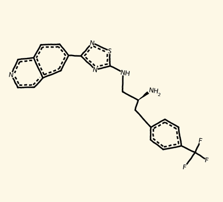 N[C@H](CNc1nc(-c2ccc3cnccc3c2)ns1)Cc1ccc(C(F)(F)F)cc1